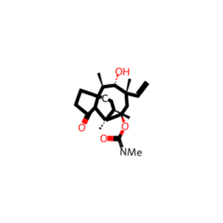 C=C[C@]1(C)C[C@@H](OC(=O)NC)[C@@]2(C)C3C(=O)CCC3(CC[C@H]2C)[C@@H](C)[C@@H]1O